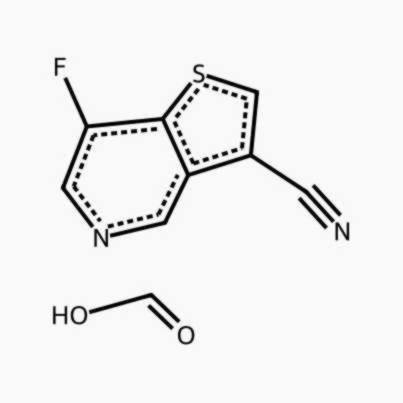 N#Cc1csc2c(F)cncc12.O=CO